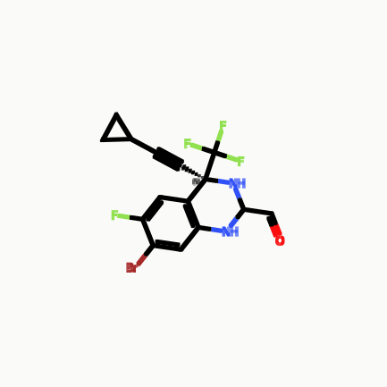 O=CC1Nc2cc(Br)c(F)cc2[C@@](C#CC2CC2)(C(F)(F)F)N1